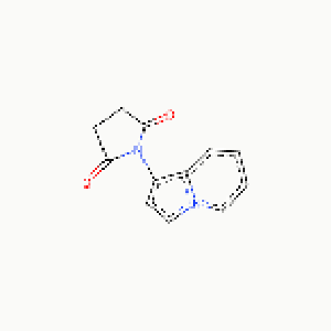 O=C1CCC(=O)N1c1ccn2ccccc12